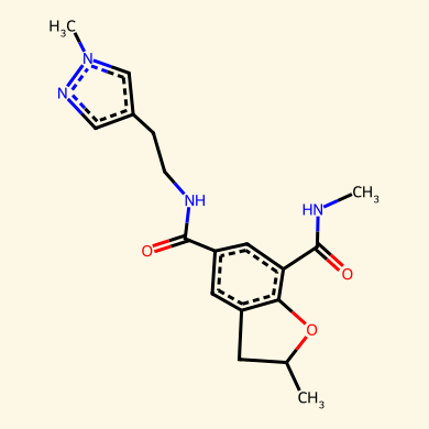 CNC(=O)c1cc(C(=O)NCCc2cnn(C)c2)cc2c1OC(C)C2